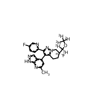 [2H]C([2H])([2H])OC([2H])([2H])[C@@]1(F)CCc2c(-c3cc(C)nc4[nH]ncc34)c(-c3ccc(F)cn3)nn2C1